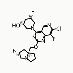 O[C@@H]1C[C@H](F)CN(c2nc(OC[C@@]34CCCN3C[C@H](F)C4)nc3c(F)c(Cl)ncc23)C1